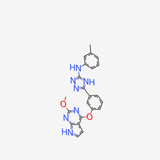 COc1nc(Oc2cccc(-c3nnc(Nc4cccc(C)c4)[nH]3)c2)c2cc[nH]c2n1